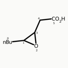 CCCCC1OC1CC(=O)O